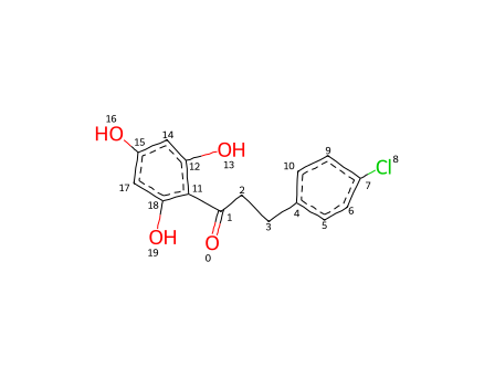 O=C(CCc1ccc(Cl)cc1)c1c(O)cc(O)cc1O